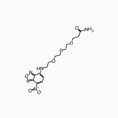 NC(=O)CCOCCOCCOCCNc1ccc([N+](=O)[O-])c2nonc12